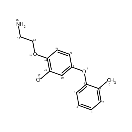 Cc1ccccc1Oc1ccc(OCCN)c(Cl)c1